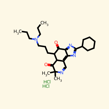 CCCN(CCC)CCCC1C(=O)C2=NC(C3CCCCC3)=NC2=C2C=NC(C)(C)C(=O)C21.Cl.Cl